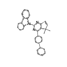 CC1(C)C=Cc2nc(-n3c4ccccc4c4ccccc43)nc(-c3ccc(-c4ccccc4)cc3)c21